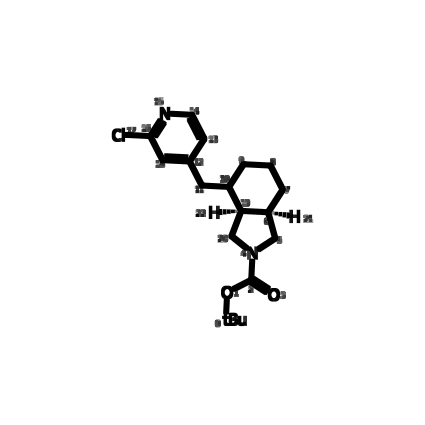 CC(C)(C)OC(=O)N1C[C@@H]2CCCC(Cc3ccnc(Cl)c3)[C@@H]2C1